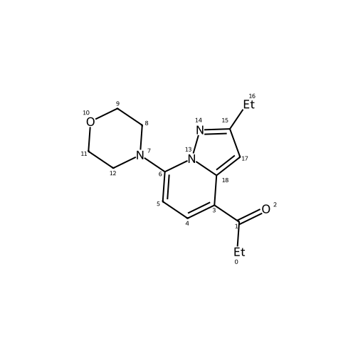 CCC(=O)c1ccc(N2CCOCC2)n2nc(CC)cc12